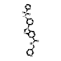 O=C(NCc1cccnc1)c1ccc2c(c1)ncn2-c1cccc(NS(=O)(=O)c2cccs2)c1